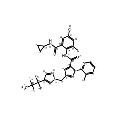 Cc1cccnc1-n1nc(Cn2cc(C(F)(F)C(F)(F)C(F)(F)F)nn2)cc1C(=O)Nc1c(C)cc(Cl)cc1C(=O)NC1CC1